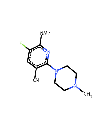 CNc1nc(N2CCN(C)CC2)c(C#N)cc1F